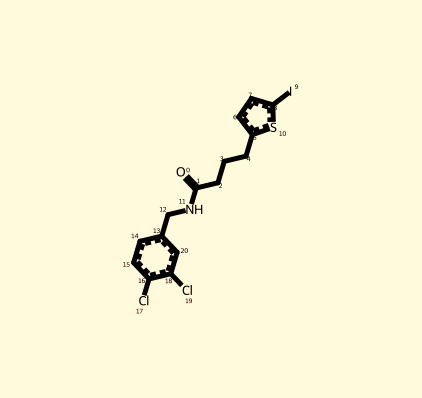 O=C(CCCc1ccc(I)s1)NCc1ccc(Cl)c(Cl)c1